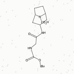 CC(C)(C)OC(=O)NCC(=O)NC1CC2CCC(C1)N2C(=O)O